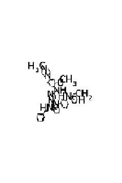 C=CC(O)Nc1cccc(N(C(=O)NCCc2ccccc2)c2cc(Nc3ccc(N4CCN(C)CC4)cc3OC)ncn2)c1